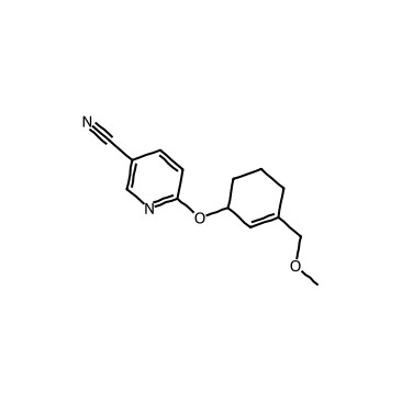 COCC1=CC(Oc2ccc(C#N)cn2)CCC1